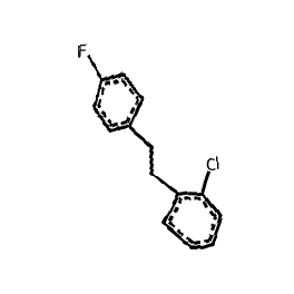 Fc1ccc(CCc2ccccc2Cl)cc1